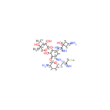 C[C@@H]1C(O)[C@@H](OC2C(O)C(O[C@H]3O[C@H](CCC(=N)CF)CCC3N)[C@@H](N)C[C@H]2NC(=N)C2(O)CC(N)C2)OCC1(C)O